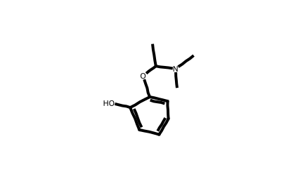 CC(Oc1ccccc1O)N(C)C